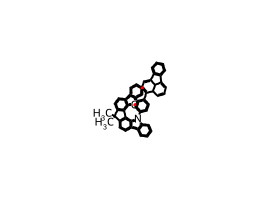 CC1(C)c2ccc3c(oc4ccccc43)c2-c2c1ccc1c3ccccc3n(-c3ccc(C4=CC=C5c6ccccc6C6=CC=CC4C65)cc3)c21